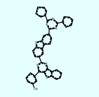 N#Cc1cccc(-c2nc(-c3ccc4sc5cc(-c6nc(-c7ccccc7)nc(-c7ccccc7)n6)ccc5c4c3)nc3c2sc2ccccc23)c1